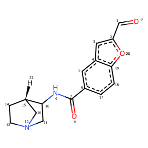 O=Cc1cc2cc(C(=O)NC3CN4CC[C@H]3C4)ccc2o1